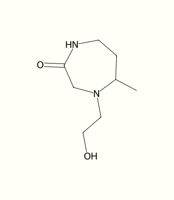 CC1CCNC(=O)CN1CCO